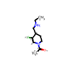 CCNCC1CCN(C(C)=O)CC1F